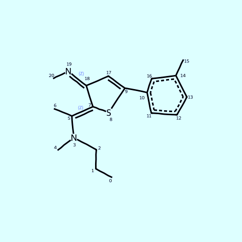 CCCN(C)/C(C)=C1\SC(c2cccc(C)c2)=C\C1=N\C